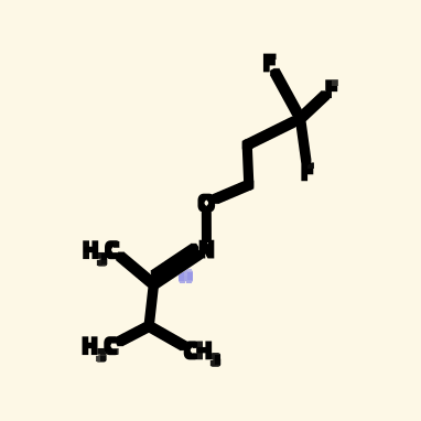 C/C(=N\OCCC(F)(F)F)C(C)C